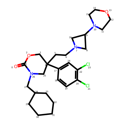 O=C1OCC(CCN2CC(N3CCOCC3)C2)(c2ccc(Cl)c(Cl)c2)CN1CC1CCCCC1